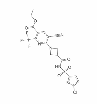 CCOC(=O)c1cc(C#N)c(N2CC(C(=O)NS(=O)(=O)c3ccc(Cl)s3)C2)nc1C(F)(F)F